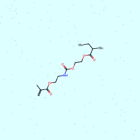 C=C(C)C(=O)OCCNC(=O)OCCOC(=O)C(CC(C)(C)C)C(C)(C)C